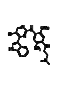 COc1cc(NCCN(C)C)c([N+](=O)[O-])cc1Nc1ncc(Cl)c(-c2c[nH]c3ccccc23)n1